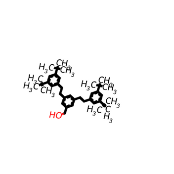 CC(C)(C)c1cc(CCc2cc(CO)cc(CCc3cc(C(C)(C)C)cc(C(C)(C)C)c3)c2)cc(C(C)(C)C)c1